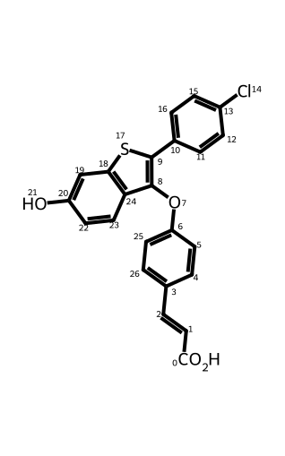 O=C(O)C=Cc1ccc(Oc2c(-c3ccc(Cl)cc3)sc3cc(O)ccc23)cc1